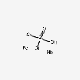 O=P(O)(O)O.[Fe].[Nb]